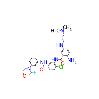 CN(C)CCCNc1ccc(N)c(C(=O)Nc2cc(C(=O)Nc3cccc(N4CCOCC4F)c3)ccc2Cl)c1